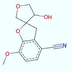 COc1ccc(C#N)c2c1OC1(COCC1O)C2